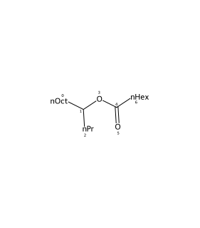 CCCCCCCCC(CCC)OC(=O)CCCCCC